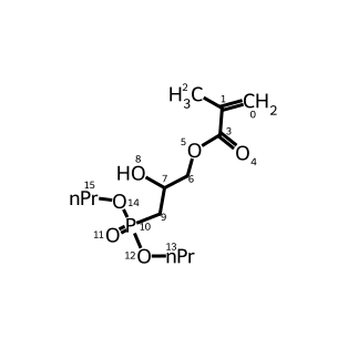 C=C(C)C(=O)OCC(O)CP(=O)(OCCC)OCCC